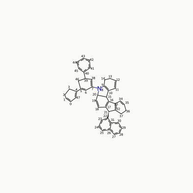 C1=CCCC(C2=CC(N3C4=C(C=CCC4)C4C5=C(C=CC43)[C@H](c3cccc4ccccc34)C3=C5C=CCC3)=CC(c3ccccc3)C2)=C1